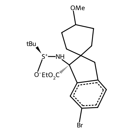 CCOC(=O)[C@@]1(N[S@@+]([O-])C(C)(C)C)c2cc(Br)ccc2CC12CCC(OC)CC2